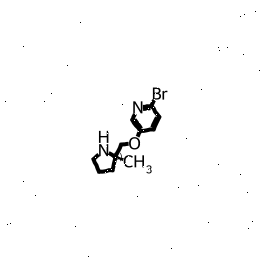 C[C@@]1(COc2ccc(Br)nc2)CCCN1